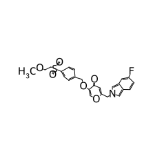 COCCS(=O)(=O)c1ccc(COc2coc(Cn3cc4ccc(F)cc4c3)cc2=O)cc1